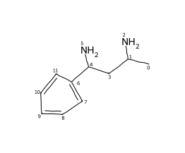 CC(N)CC(N)c1ccccc1